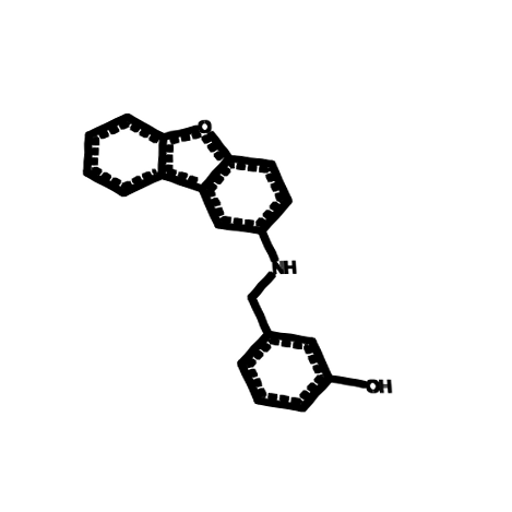 Oc1cccc(CNc2ccc3oc4ccccc4c3c2)c1